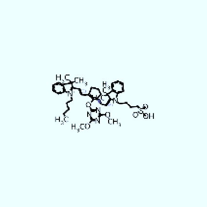 CCCCC[N+]1=C(/C=C/C2=C(Oc3nc(OC)nc(OC)n3)C(=C/C=C3/N(CCCCS(=O)(=O)O)c4ccccc4C3(C)C)/CCC2)C(C)(C)c2ccccc21